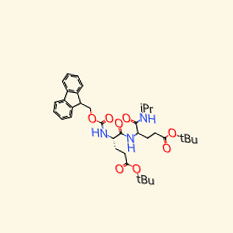 CC(C)NC(=O)C(CCC(=O)OC(C)(C)C)NC(=O)[C@H](CCC(=O)OC(C)(C)C)NC(=O)OCC1c2ccccc2-c2ccccc21